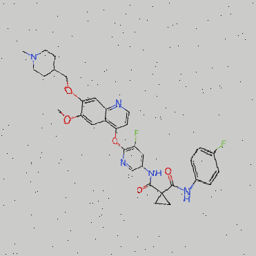 COc1cc2c(Oc3ncc(NC(=O)C4(C(=O)Nc5ccc(F)cc5)CC4)cc3F)ccnc2cc1OCC1CCN(C)CC1